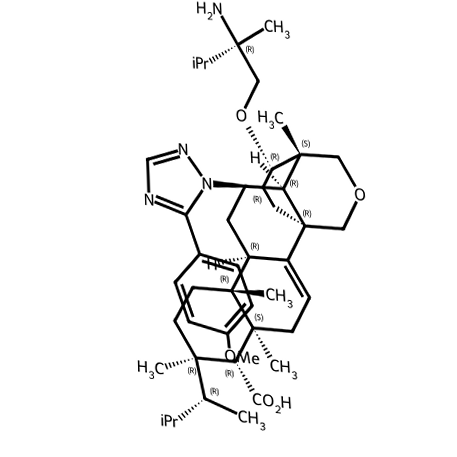 COc1ccc(-c2ncnn2[C@@H]2C[C@@]34COC[C@](C)([C@@H]3CC[C@H]3C4=CC[C@@]4(C)[C@H](C(=O)O)[C@@](C)([C@H](C)C(C)C)CC[C@]34C)[C@H]2OC[C@](C)(N)C(C)C)cc1